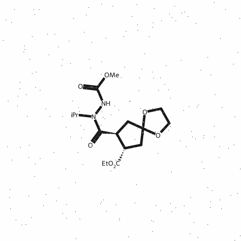 CCOC(=O)[C@H]1CC2(C[C@@H]1C(=O)N(NC(=O)OC)C(C)C)OCCO2